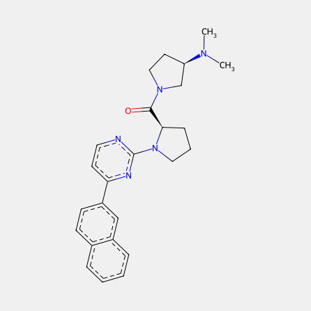 CN(C)[C@@H]1CCN(C(=O)[C@H]2CCCN2c2nccc(-c3ccc4ccccc4c3)n2)C1